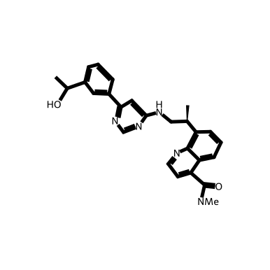 CNC(=O)c1ccnc2c([C@H](C)CNc3cc(-c4cccc(C(C)O)c4)ncn3)cccc12